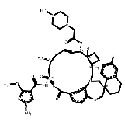 COc1nn(C)cc1C(=O)N[S@@]1(=O)=NC(=O)c2ccc3c(c2)N(C[C@@H]2CC[C@H]2[C@@H](OC(=O)CN2CCN(C)CC2)/C=C/C[C@H](C)C1)C[C@@]1(CCCc2cc(Cl)ccc21)CO3